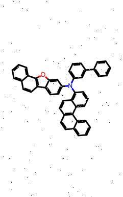 c1ccc(-c2cccc(N(c3ccc4c(c3)oc3c5ccccc5ccc43)c3cccc4c3ccc3ccc5ccccc5c34)c2)cc1